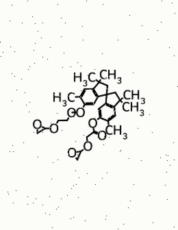 Cc1cc2c(cc1OOCCOC1CO1)C1(CC2(C)C)CC(C)(C)c2cc(C)c(OC(=O)COC3CO3)cc21